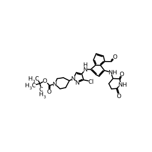 CC(C)(C)OC(=O)N1CCC(n2cc(Nc3ccc(NC4CCC(=O)NC4=O)c4c(C=O)cccc34)c(Cl)n2)CC1